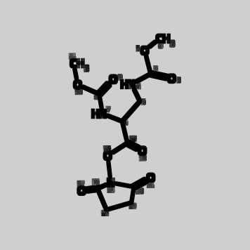 COC(=O)NCC(NC(=O)OC)C(=O)ON1C(=O)CCC1=O